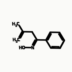 C=C(C)CC(=NO)c1ccccc1